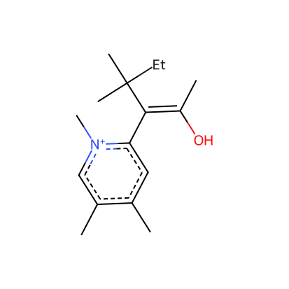 CCC(C)(C)/C(=C(\C)O)c1cc(C)c(C)c[n+]1C